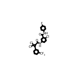 O=C(Nc1ccc(F)cc1)c1cc(NC(=O)C2C(c3cccc(C(F)(F)F)c3)C2(Cl)Cl)ccc1Cl